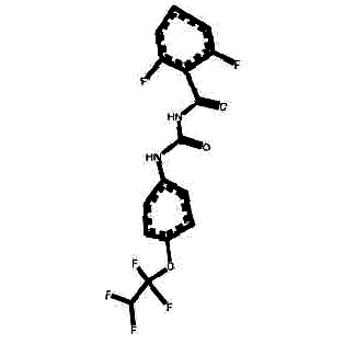 O=C(NC(=O)c1c(F)cccc1F)Nc1ccc(OC(F)(F)C(F)F)cc1